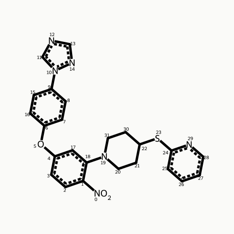 O=[N+]([O-])c1ccc(Oc2ccc(-n3cncn3)cc2)cc1N1CCC(Sc2ccccn2)CC1